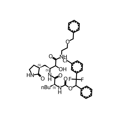 CCCC[C@H](NC(=O)OC(c1ccccc1)C(F)(F)c1cccc(Cl)c1)C(=O)N[C@@H](C[C@@H]1CCNC1=O)C(O)C(=O)NCCOCc1ccccc1